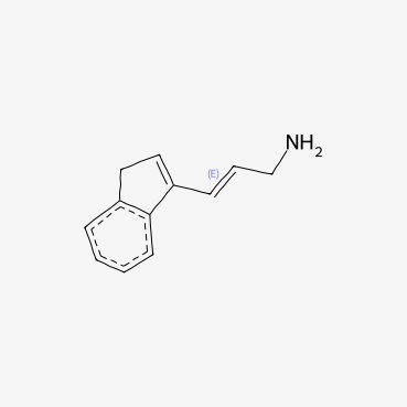 NC/C=C/C1=CCc2ccccc21